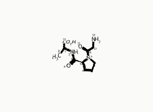 CC(NC(=O)[C@@H]1CCCN1C(=O)CN)C(=O)O